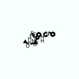 O=C(NCc1nc(-c2cc3c(NC4CCN(Cc5ccccc5)CC4)cccc3n2CC(F)(F)F)no1)C1CC1